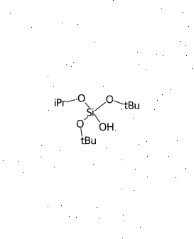 CC(C)O[Si](O)(OC(C)(C)C)OC(C)(C)C